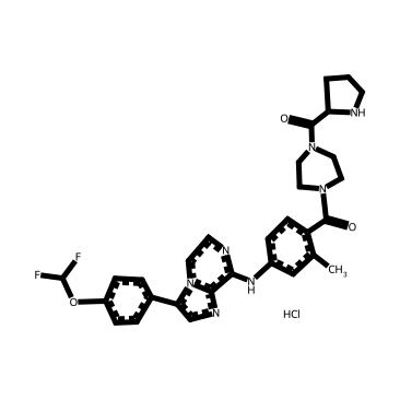 Cc1cc(Nc2nccn3c(-c4ccc(OC(F)F)cc4)cnc23)ccc1C(=O)N1CCN(C(=O)C2CCCN2)CC1.Cl